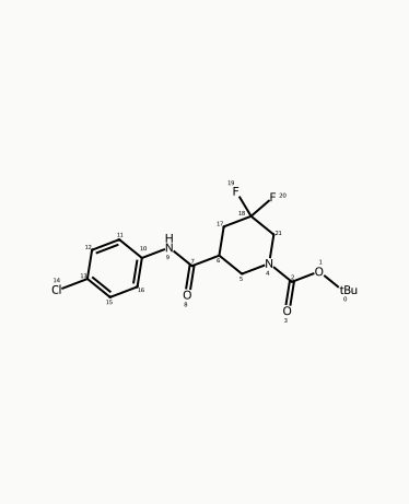 CC(C)(C)OC(=O)N1CC(C(=O)Nc2ccc(Cl)cc2)CC(F)(F)C1